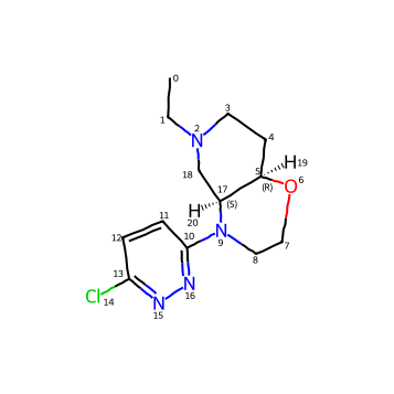 CCN1CC[C@H]2OCCN(c3ccc(Cl)nn3)[C@H]2C1